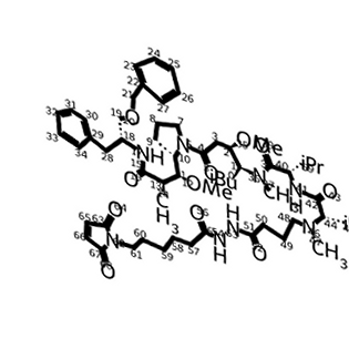 CC[C@H](C)[C@@H]([C@@H](CC(=O)N1CCC[C@H]1[C@H](OC)[C@@H](C)C(=O)N[C@@H](COCc1ccccc1)Cc1ccccc1)OC)N(C)C(=O)[C@@H](NC(=O)[C@H](C(C)C)N(C)CCCC(=O)NNC(=O)CCCCCN1C(=O)C=CC1=O)C(C)C